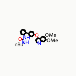 CCCCNC(=O)Nc1ccccc1-c1ccc(Oc2ccnc3cc(OC)c(OC)cc23)cc1